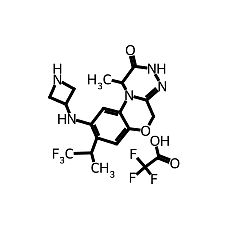 CC1C(=O)NN=C2COc3cc(C(C)C(F)(F)F)c(NC4CNC4)cc3N21.O=C(O)C(F)(F)F